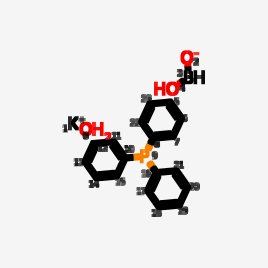 O.[K+].[O-]BO.c1ccc(P(c2ccccc2)c2ccccc2)cc1